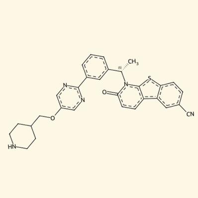 C[C@@H](c1cccc(-c2ncc(OCC3CCNCC3)cn2)c1)n1c(=O)ccc2c3cc(C#N)ccc3sc21